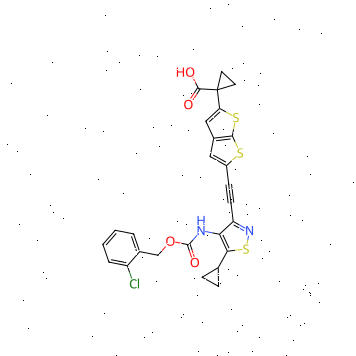 O=C(Nc1c(C#Cc2cc3cc(C4(C(=O)O)CC4)sc3s2)nsc1C1CC1)OCc1ccccc1Cl